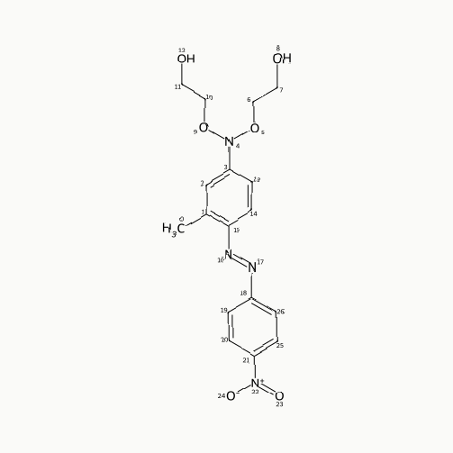 Cc1cc(N(OCCO)OCCO)ccc1N=Nc1ccc([N+](=O)[O-])cc1